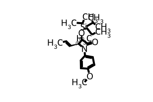 CC=C[C@H]1[C@@H](O[Si](C(C)C)(C(C)C)C(C)C)C(=O)N1c1ccc(OC)cc1